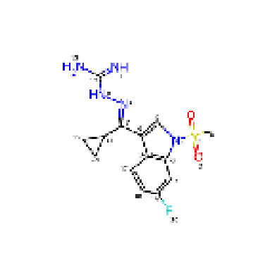 CS(=O)(=O)n1cc(/C(=N/NC(=N)N)C2CC2)c2ccc(F)cc21